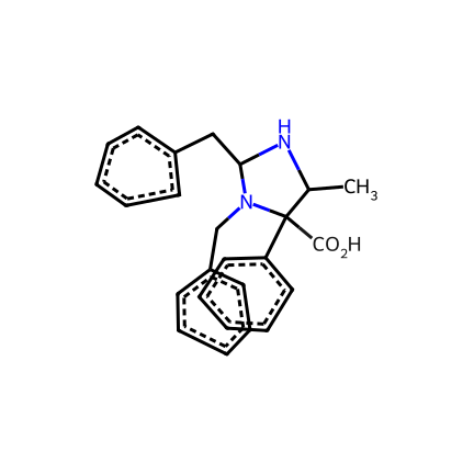 CC1NC(Cc2ccccc2)N(Cc2ccccc2)C1(C(=O)O)c1ccccc1